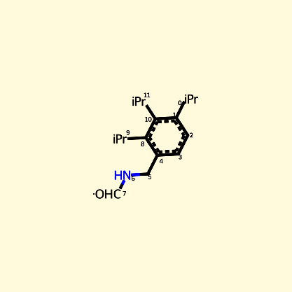 CC(C)c1ccc(CN[C]=O)c(C(C)C)c1C(C)C